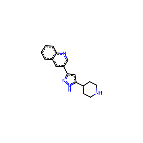 c1ccc2ncc(-c3cc(C4CCNCC4)[nH]n3)cc2c1